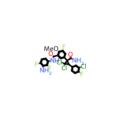 COc1c(F)cc(C2(C(N)=O)C(c3ccc(F)c(Cl)c3)C2(Cl)Cl)cc1C(=O)Nc1ccc(F)c(N)c1F